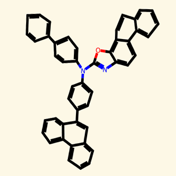 c1ccc(-c2ccc(N(c3ccc(-c4cc5ccccc5c5ccccc45)cc3)c3nc4ccc5c6ccccc6ccc5c4o3)cc2)cc1